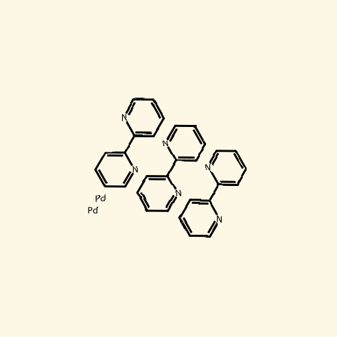 [Pd].[Pd].c1ccc(-c2ccccn2)nc1.c1ccc(-c2ccccn2)nc1.c1ccc(-c2ccccn2)nc1